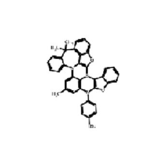 Cc1cc2c3c(c1)N1c4ccccc4C(C)(C)c4cccc5oc(c1c45)B3c1c(oc3ccccc13)N2c1ccc(C(C)(C)C)cc1